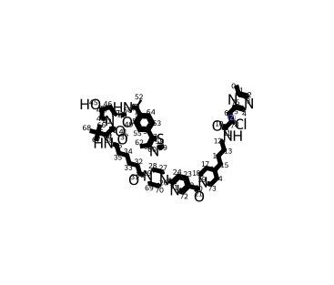 Cc1cncc(/C=C(\Cl)C(=O)NCCCCC2CCN(C(=O)c3ccc(N4CCN(C(=O)CCCCC(=O)N[C@H](C(=O)N5C[C@H](O)C[C@H]5C(=O)N[C@@H](C)c5ccc(-c6scnc6C)cc5)C(C)(C)C)CC4)nc3)CC2)n1